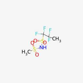 CC(F)(F)C(F)(F)S(=O)(=O)NS(C)(=O)=O